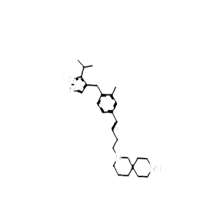 Cc1cc(/C=C/CCN2CCCC3(CCNCC3)C2)ccc1Cc1[c]n[nH]c1C(C)C